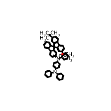 CC(C)(C)c1ccc2c(c1)C1(c3ccccc3-c3ccc(N(c4ccccc4)c4ccc(N(c5ccccc5)c5ccccc5)cc4)cc31)c1cc(C(C)(C)C)ccc1-2